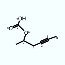 CC#CCC(C)OC(=O)O